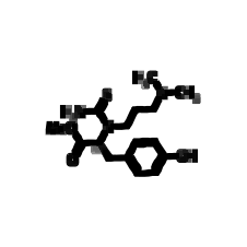 COC(=O)[C@H](Cc1ccc(O)cc1)N(CCCN(C)C)C(N)=S